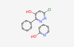 Oc1cc(Cl)nnc1-c1ccccc1.Oc1ccccn1